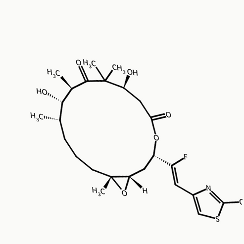 Cc1nc(C=C(F)[C@@H]2C[C@@H]3O[C@]3(C)CCC[C@H](C)[C@H](O)[C@@H](C)C(=O)C(C)(C)[C@@H](O)CC(=O)O2)cs1